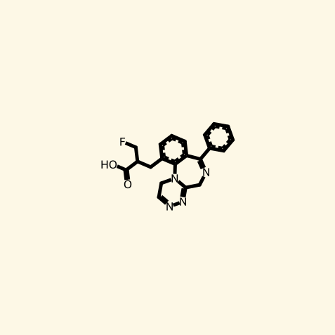 O=C(O)C(CF)Cc1cccc2c1N1CC=NN=C1CN=C2c1ccccc1